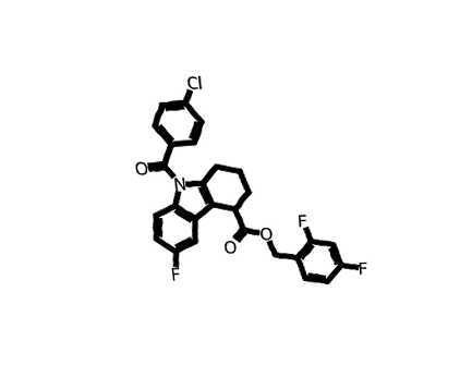 O=C(OCc1ccc(F)cc1F)C1CCCc2c1c1cc(F)ccc1n2C(=O)c1ccc(Cl)cc1